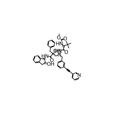 COC(=O)N[C@H](C(=O)NN(Cc1cccc(C#Cc2cccnc2)c1)C[C@@](O)(Cc1ccccc1)C(=O)N[C@H]1c2ccccc2C[C@H]1O)C(C)(C)C